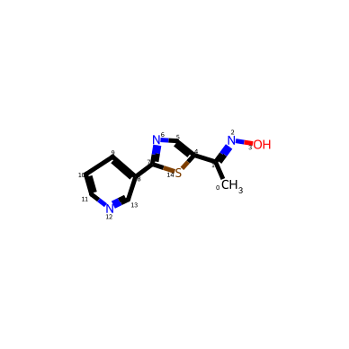 CC(=NO)c1cnc(-c2cccnc2)s1